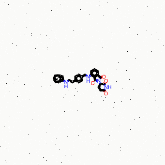 O=C1CCC(N2C(=O)c3cccc(NCc4ccc(CCNC56CC7CC(CC5C7)C6)cc4)c3C2=O)C(=O)N1